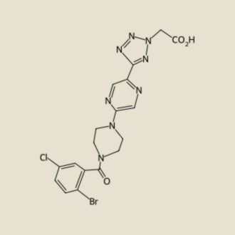 O=C(O)Cn1nnc(-c2cnc(N3CCN(C(=O)c4cc(Cl)ccc4Br)CC3)cn2)n1